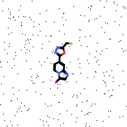 FCc1nnc(-c2ccn3c(I)cnc3c2)o1